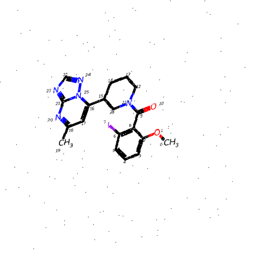 COc1cccc(I)c1C(=O)N1CCCC(c2cc(C)nc3ncnn23)C1